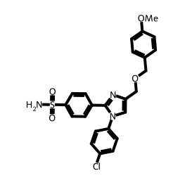 COc1ccc(COCc2cn(-c3ccc(Cl)cc3)c(-c3ccc(S(N)(=O)=O)cc3)n2)cc1